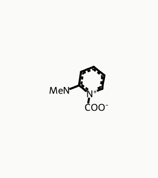 CNc1cccc[n+]1C(=O)[O-]